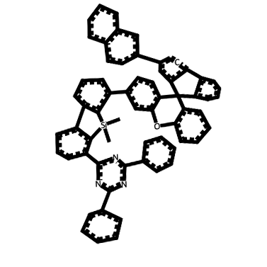 C[Si]1(C)c2c(-c3ccc4c(c3)Oc3ccccc3C43c4ccccc4-c4ccc(-c5ccc6ccccc6c5)cc43)cccc2-c2cccc(-c3nc(-c4ccccc4)nc(-c4ccccc4)n3)c21